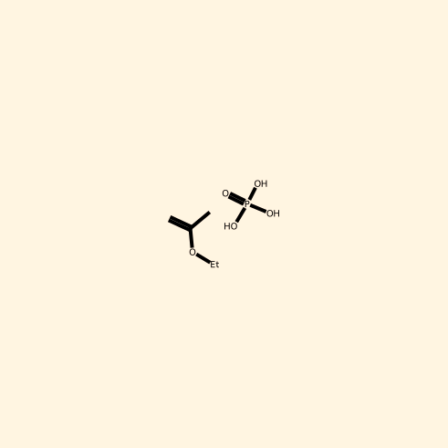 C=C(C)OCC.O=P(O)(O)O